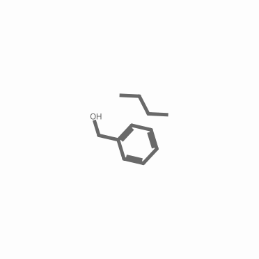 CCCC.OCc1ccccc1